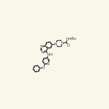 CC(C)(C)OC(=O)N1CCN(c2ccc3ncnc(Nc4ccc(Oc5ccccc5)nc4)c3c2)CC1